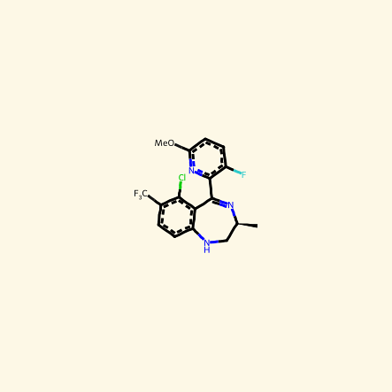 COc1ccc(F)c(C2=N[C@@H](C)CNc3ccc(C(F)(F)F)c(Cl)c32)n1